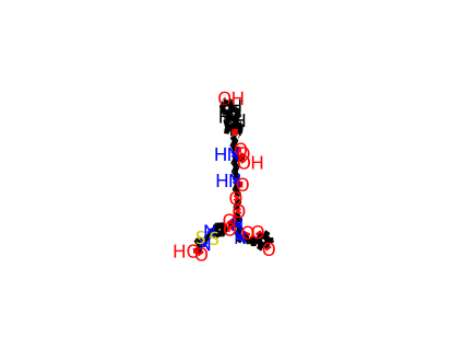 CC[C@]12CC[C@H]3[C@@H](CC[C@@H]4C[C@H](O)CC[C@@]43C)[C@@H]1CC[C@@H]2CCCC(=O)NC(CCCCNC(=O)CCOCCOCCN(CCN(C)C(=O)CC(C)(C)C1=C(C)C(=O)C(C)=C(C)C1=O)C(=O)Oc1ccc2nc(C3=NC(C(=O)O)CS3)sc2c1)C(=O)O